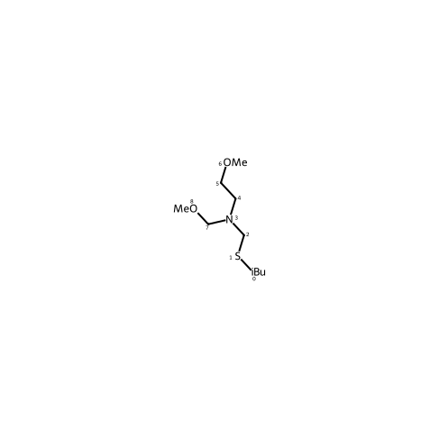 CCC(C)SCN(CCOC)COC